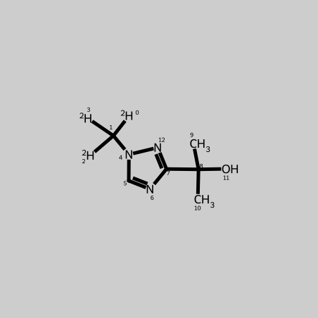 [2H]C([2H])([2H])n1cnc(C(C)(C)O)n1